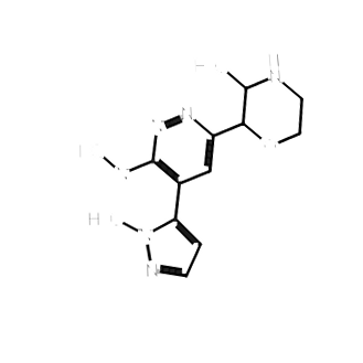 CNc1nnc(C2OCCNC2C)cc1-c1ccnn1C